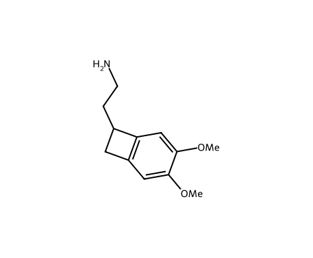 COc1cc2c(cc1OC)C(CCN)C2